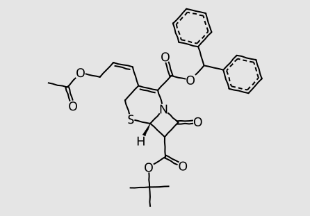 CC(=O)OC/C=C\C1=C(C(=O)OC(c2ccccc2)c2ccccc2)N2C(=O)C(C(=O)OC(C)(C)C)[C@@H]2SC1